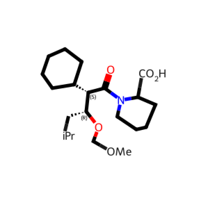 COCO[C@H](CC(C)C)[C@@H](C(=O)N1CCCCC1C(=O)O)C1CCCCC1